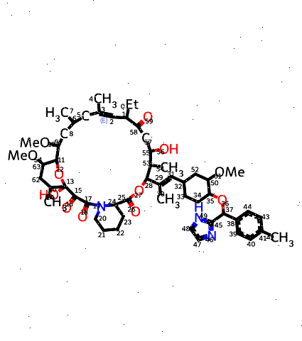 CCC1/C=C(\C)CC(C)CC(OC)C2OC(O)(C(=O)C(=O)N3CCCCC3C(=O)OC(C(C)=CC3CCC(OC(c4ccc(C)cc4)c4ncc[nH]4)C(OC)C3)C(C)C(O)CC1=O)C(C)CC2OC